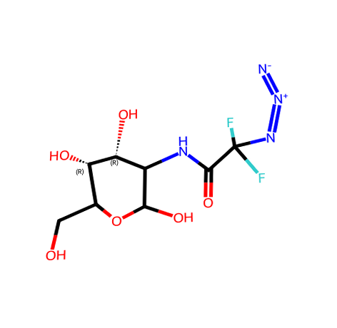 [N-]=[N+]=NC(F)(F)C(=O)NC1C(O)OC(CO)[C@H](O)[C@@H]1O